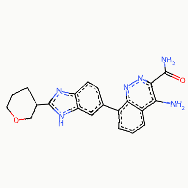 NC(=O)c1nnc2c(-c3ccc4nc(C5CCCOC5)[nH]c4c3)cccc2c1N